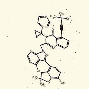 CC(C)(O)C#Cc1cccc2nc(Cn3nc(-c4ccc(O)c5c4CC(C)(C)O5)c4c(N)ncnc43)n(C3(c4ccccc4)CC3)c(=O)c12